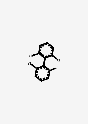 Clc1cccc(Cl)c1-c1c(Cl)cccc1Cl